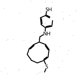 C=C(S)/C=C\C(=C/C)NCC1C=C/C=C(/SC)CCC/C=C\1